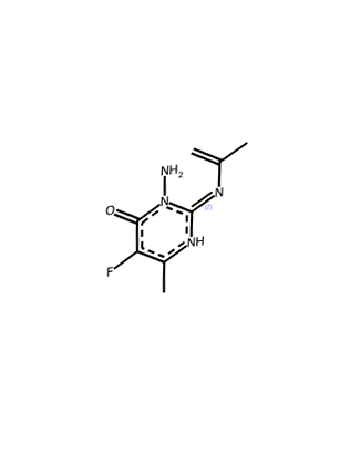 C=C(C)/N=c1/[nH]c(C)c(F)c(=O)n1N